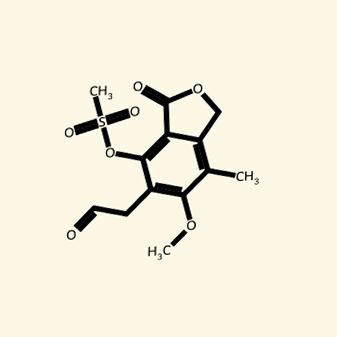 COc1c(C)c2c(c(OS(C)(=O)=O)c1CC=O)C(=O)OC2